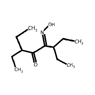 CCC(CC)C(=O)C(=NO)C(CC)CC